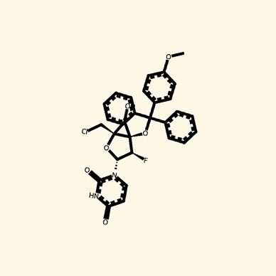 COc1ccc(C(O[C@]23C(O)[C@@]2(CCl)O[C@@H](n2ccc(=O)[nH]c2=O)[C@@H]3F)(c2ccccc2)c2ccccc2)cc1